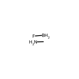 BF.CN